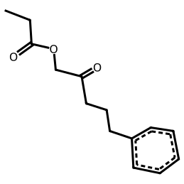 CCC(=O)OCC(=O)CCCc1ccccc1